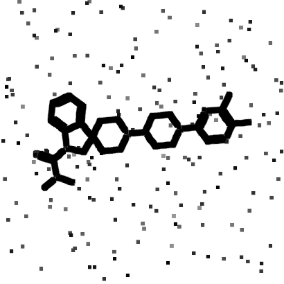 Cc1ncc(N2CCC(N3CCC4(CC3)CN(C(=O)N(C)C)c3ccccc34)CC2)nc1C